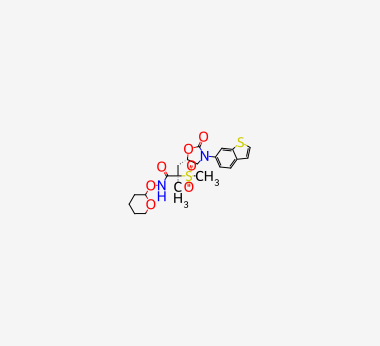 C[C@@](C[C@H]1CN(c2ccc3ccsc3c2)C(=O)O1)(C(=O)NOC1CCCCO1)S(C)(=O)=O